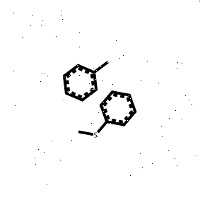 CSc1ccccc1.Cc1ccccc1